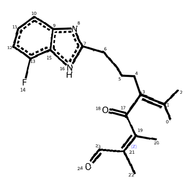 CC(C)=C(CCCc1nc2cccc(F)c2[nH]1)C(=O)/C(C)=C(/C)C=O